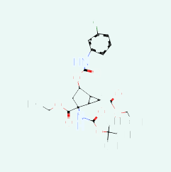 CCOC(=O)[C@H]1C2C(OC(=O)Nc3cccc(Cl)c3)CC(NC(=O)OC(C)(C)C)(C(=O)OCC)C21